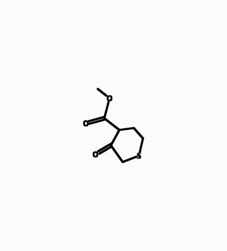 COC(=O)C1CCSCC1=O